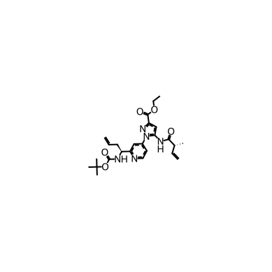 C=CC[C@H](NC(=O)OC(C)(C)C)c1cc(-n2nc(C(=O)OCC)cc2NC(=O)[C@H](C)C=C)ccn1